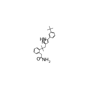 CC(C)(C)c1cccc(-c2cc(CC(C)(C)c3ccccc3CC(N)=O)n[nH]2)c1